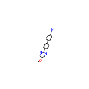 COc1cnc(-c2ccc(-c3ccc(C#N)cc3)cc2)nc1